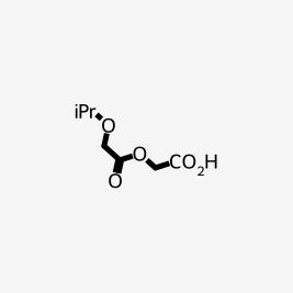 CC(C)OCC(=O)OCC(=O)O